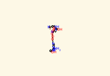 Cc1ncsc1-c1ccc([C@H](C)NC(=O)[C@@H]2C[C@@H](O)CN2C(=O)[C@@H](c2cc(OCCOCCOCCCCN3CCC4(CCN(c5cc(-c6ccccc6O)nnc5N)CC4)C3)no2)C(C)C)cc1